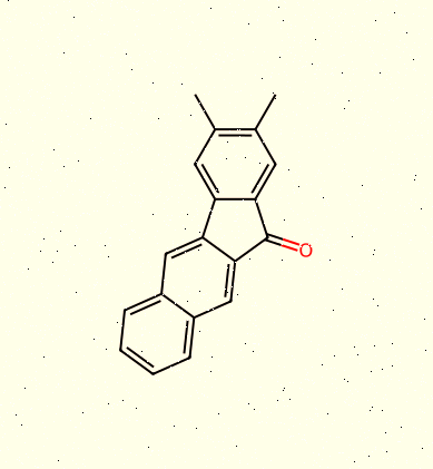 Cc1cc2c(cc1C)-c1cc3ccccc3cc1C2=O